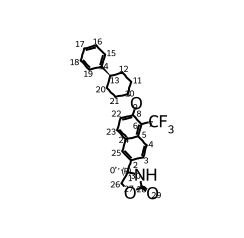 C[C@@]1(c2ccc3c(C(F)(F)F)c(O[C@H]4CC[C@H](c5ccccc5)CC4)ccc3c2)COC(=O)N1